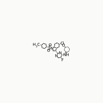 Cc1ccc(S(=O)(=O)n2cc(-c3ncc(F)c(N[C@H]4CCCC(=O)C4)n3)c3cc(Cl)ccc32)cc1